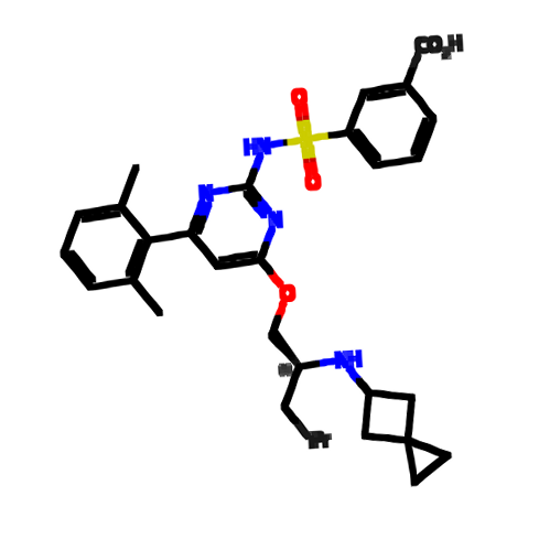 Cc1cccc(C)c1-c1cc(OC[C@H](CC(C)C)NC2CC3(CC3)C2)nc(NS(=O)(=O)c2cccc(C(=O)O)c2)n1